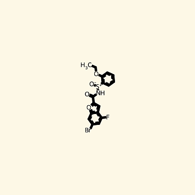 CCOc1ccccc1[S+]([O-])NC(=O)c1cc2c(F)cc(Br)cc2o1